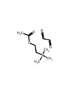 CC(=O)OCC[N+](C)(C)C.O=CC=O